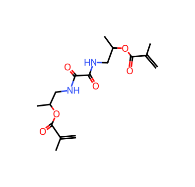 C=C(C)C(=O)OC(C)CNC(=O)C(=O)NCC(C)OC(=O)C(=C)C